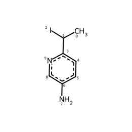 CC(I)c1ccc(N)cn1